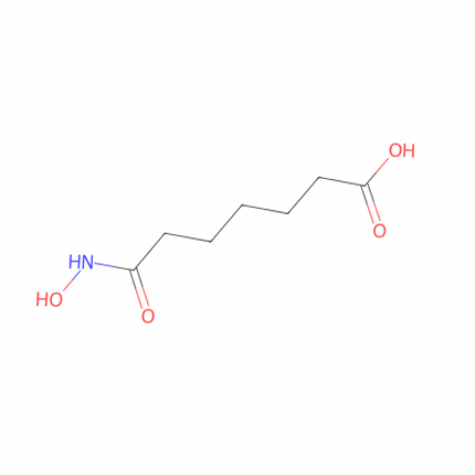 O=C(O)CCCCCC(=O)NO